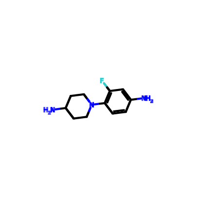 Nc1ccc(N2CCC(N)CC2)c(F)c1